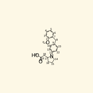 COc1ccccc1Cc1ccc(N2CCCC2CC(=O)O)cc1